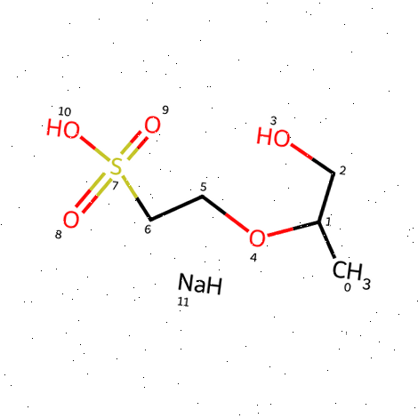 CC(CO)OCCS(=O)(=O)O.[NaH]